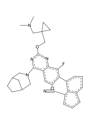 CN(C)CC1(COc2nc(N3CC4CCC(C4)C3)c3cc(Cl)c(-c4cccc5cccc(C#N)c45)c(F)c3n2)CC1